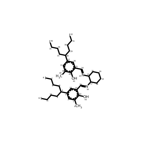 Cc1cc(C(CCCI)CCCI)cc(/C=N/C2CCCCC2/N=C/c2cc(C(CCCI)CCCI)cc(C)c2O)c1O